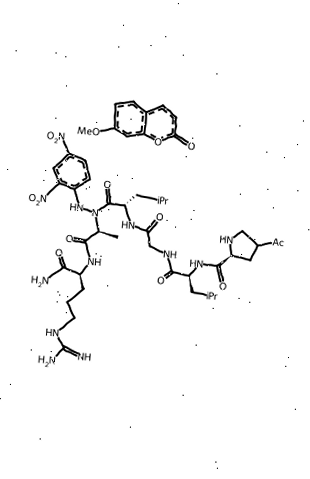 CC(=O)C1CN[C@H](C(=O)N[C@@H](CC(C)C)C(=O)NCC(=O)N[C@@H](CC(C)C)C(=O)N(Nc2ccc([N+](=O)[O-])cc2[N+](=O)[O-])[C@@H](C)C(=O)N[C@@H](CCCNC(=N)N)C(N)=O)C1.COc1ccc2ccc(=O)oc2c1